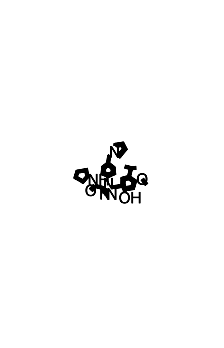 COc1cc(O)c(-c2nnc(C(=O)NC3CCCC3)n2-c2ccc(Cn3cccc3)cc2)cc1C(C)C